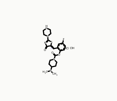 CN(C)C1CCN(C(=O)Oc2ccc(F)cc2/C=C2\SC(N3CCNCC3)=NC2=O)CC1.Cl.Cl